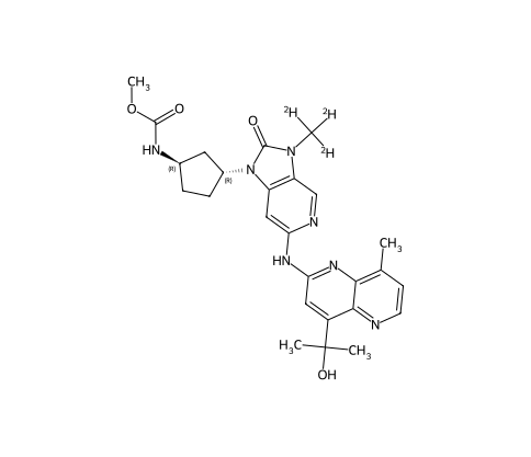 [2H]C([2H])([2H])n1c(=O)n([C@@H]2CC[C@@H](NC(=O)OC)C2)c2cc(Nc3cc(C(C)(C)O)c4nccc(C)c4n3)ncc21